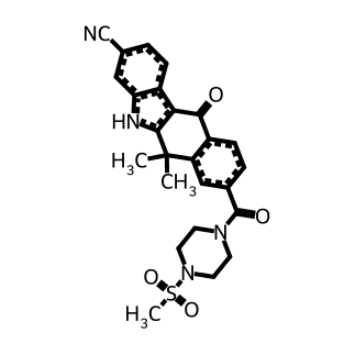 CC1(C)c2cc(C(=O)N3CCN(S(C)(=O)=O)CC3)ccc2C(=O)c2c1[nH]c1cc(C#N)ccc21